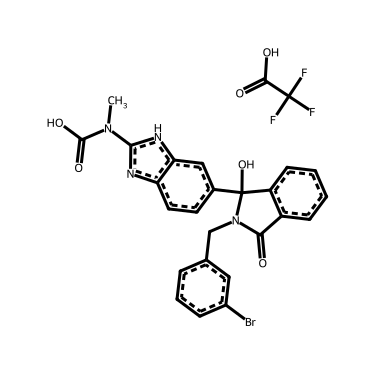 CN(C(=O)O)c1nc2ccc(C3(O)c4ccccc4C(=O)N3Cc3cccc(Br)c3)cc2[nH]1.O=C(O)C(F)(F)F